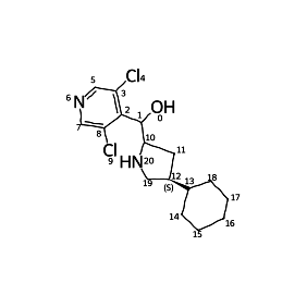 OC(c1c(Cl)cncc1Cl)C1C[C@@H](C2CCCCC2)CN1